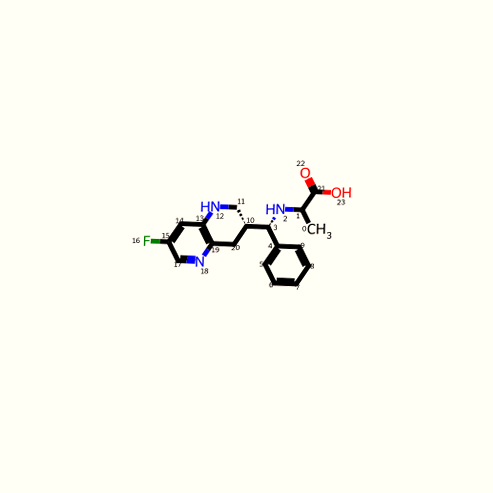 CC(N[C@H](c1ccccc1)[C@H]1CNc2cc(F)cnc2C1)C(=O)O